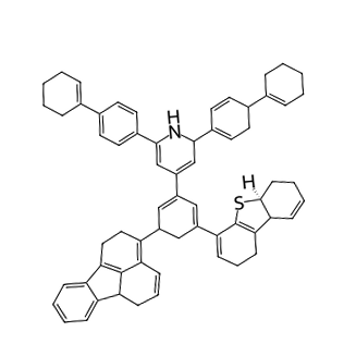 C1=CC2C3=C(S[C@H]2CC1)C(C1=CC(C2=CC(C4=CCC(C5=CCCCC5)C=C4)NC(c4ccc(C5=CCCCC5)cc4)=C2)=CC(C2=C4C=CCC5C4=C(CC2)c2ccccc25)C1)=CCC3